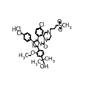 CCOc1cc(C(C)(C)CO)ccc1C1=N[C@@H](c2ccc(Cl)cc2)[C@@H](c2ccc(Cl)cc2)N1C(=O)N1CCN(CCCS(C)(=O)=O)CC1.Cl